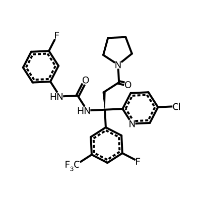 O=C(Nc1cccc(F)c1)N[C@@](CC(=O)N1CCCC1)(c1cc(F)cc(C(F)(F)F)c1)c1ccc(Cl)cn1